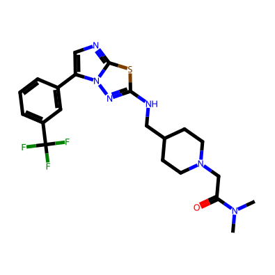 CN(C)C(=O)CN1CCC(CNc2nn3c(-c4cccc(C(F)(F)F)c4)cnc3s2)CC1